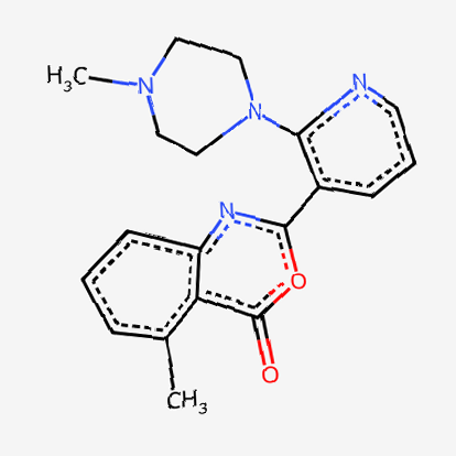 Cc1cccc2nc(-c3cccnc3N3CCN(C)CC3)oc(=O)c12